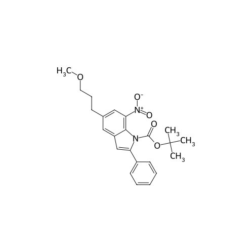 COCCCc1cc([N+](=O)[O-])c2c(c1)cc(-c1ccccc1)n2C(=O)OC(C)(C)C